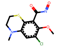 COc1c(Cl)cc2c(c1C(=O)N=O)SCCN2C